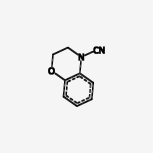 N#CN1CCOc2ccccc21